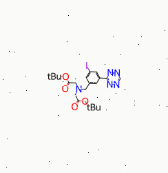 CC(C)(C)OC(=O)CN(CC(=O)OC(C)(C)C)Cc1cc(I)cc(-c2nncnn2)c1